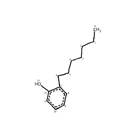 CCCCCCCc1cc[c]cc1O